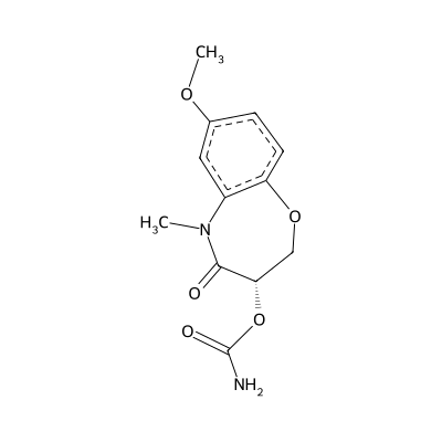 COc1ccc2c(c1)N(C)C(=O)[C@@H](OC(N)=O)CO2